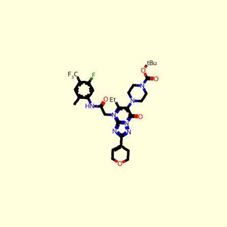 CCc1c(N2CCN(C(=O)OC(C)(C)C)CC2)c(=O)n2nc(C3=CCOCC3)nc2n1CC(=O)Nc1cc(F)c(C(F)(F)F)cc1C